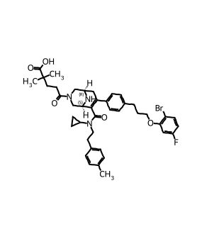 Cc1ccc(CCN(C(=O)C2=C(c3ccc(CCCOc4cc(F)ccc4Br)cc3)C[C@@H]3CN(C(=O)CCC(C)(C)C(=O)O)C[C@H]2N3)C2CC2)cc1